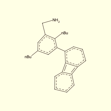 CCCCc1cc(CN)c(CCCC)c(-c2cccc3c2=c2ccccc2=3)c1